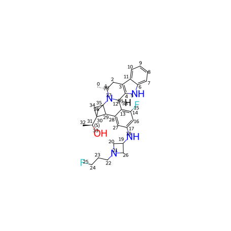 C[C@@H]1Cc2c([nH]c3ccccc23)[C@H]2c3c(F)cc(NC4CN(CCCF)C4)cc3C3C4([C@H](C)O)CC3(C4)N21